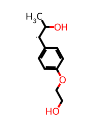 CC(O)[CH]c1ccc(OCCO)cc1